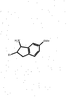 CCC1Cc2ccc(OC)cc2C1N